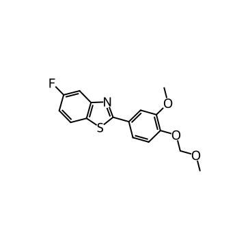 COCOc1ccc(-c2nc3cc(F)ccc3s2)cc1OC